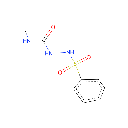 CNC(=O)NNS(=O)(=O)c1ccccc1